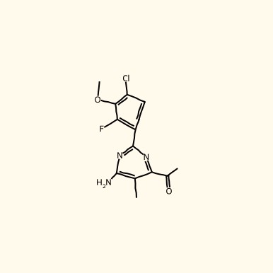 COc1c(Cl)ccc(-c2nc(N)c(C)c(C(C)=O)n2)c1F